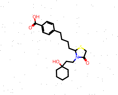 O=C(O)c1ccc(CCCCC2SCC(=O)N2CCC2(O)CCCCC2)cc1